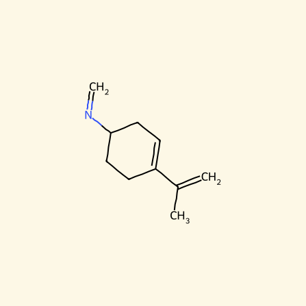 C=NC1CC=C(C(=C)C)CC1